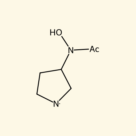 CC(=O)N(O)C1CC[N]C1